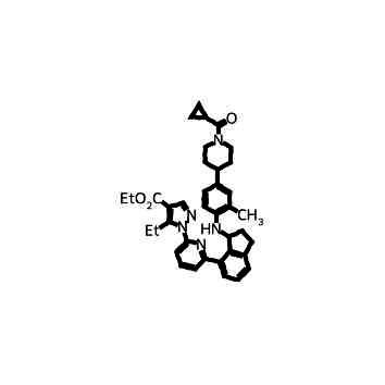 CCOC(=O)c1cnn(-c2cccc(-c3cccc4c3C(Nc3ccc(C5CCN(C(=O)C6CC6)CC5)cc3C)CC4)n2)c1CC